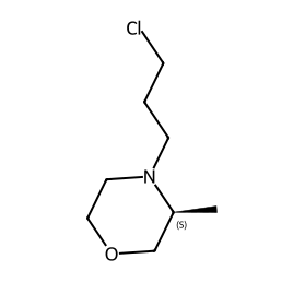 C[C@H]1COCCN1CCCCl